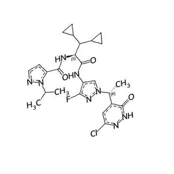 CC(C)n1nccc1C(=O)N[C@H](C(=O)Nc1cn([C@H](C)c2cc(Cl)n[nH]c2=O)nc1F)C(C1CC1)C1CC1